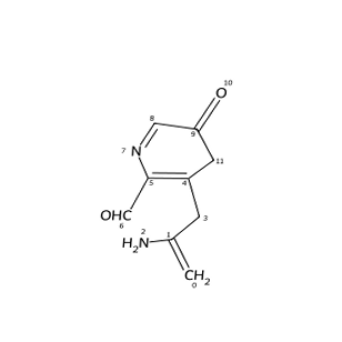 C=C(N)CC1=C(C=O)N=CC(=O)C1